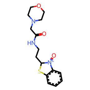 O=C(CN1CCOCC1)NCCC1Sc2ccccc2[N+]1=O